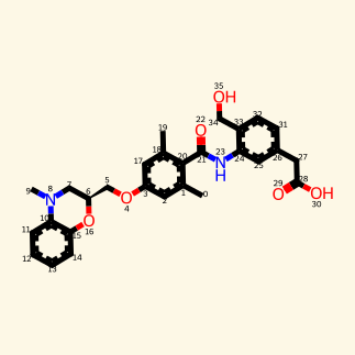 Cc1cc(OC[C@@H]2CN(C)c3ccccc3O2)cc(C)c1C(=O)Nc1cc(CC(=O)O)ccc1CO